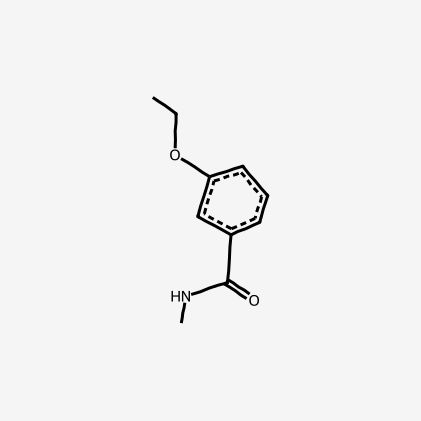 CCOc1cccc(C(=O)NC)c1